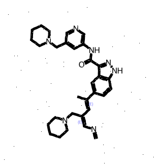 C=N/C=C(\C=C(/C)c1ccc2[nH]nc(C(=O)Nc3cncc(CN4CCCCC4)c3)c2c1)CN1CCCCC1